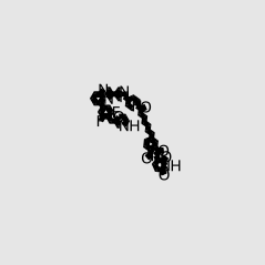 O=C1CCC(N2C(=O)c3ccc(CCCCCCC(=O)N4CCC(n5cc(-c6cnc7cccc(-c8cc(F)c(CC9CNCCO9)c(F)c8)c7n6)cn5)CC4)cc3C2=O)C(=O)N1